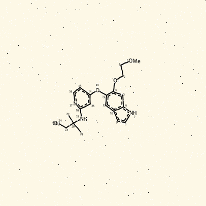 COCCOc1cc2[nH]ccc2cc1Oc1ccnc(NC(C)(C)CC(C)(C)C)c1